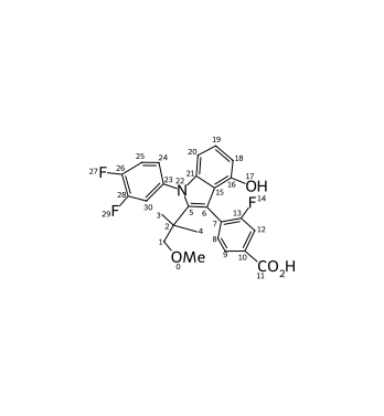 COCC(C)(C)c1c(-c2ccc(C(=O)O)cc2F)c2c(O)cccc2n1-c1ccc(F)c(F)c1